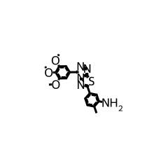 COc1cc(-c2nnc3sc(-c4ccc(C)c(N)c4)nn23)cc(OC)c1OC